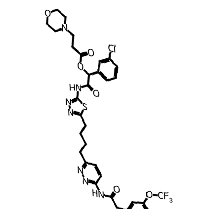 O=C(Cc1cccc(OC(F)(F)F)c1)Nc1ccc(CCCCc2nnc(NC(=O)C(OC(=O)CCN3CCOCC3)c3cccc(Cl)c3)s2)nn1